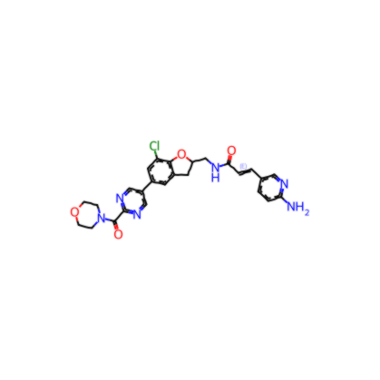 Nc1ccc(/C=C/C(=O)NCC2Cc3cc(-c4cnc(C(=O)N5CCOCC5)nc4)cc(Cl)c3O2)cn1